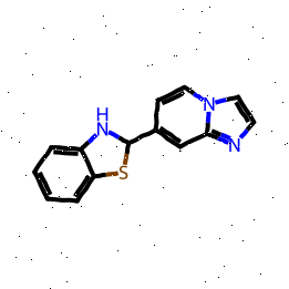 [c]1c(C2Nc3ccccc3S2)ccn2ccnc12